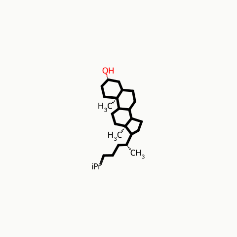 CC(C)CCC[C@@H](C)C1CCC2C3CCC4C[C@@H](O)CC[C@]4(C)C3CC[C@@]21C